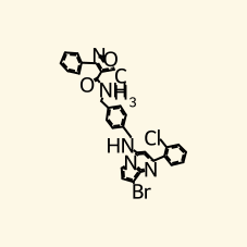 Cc1onc(-c2ccccc2)c1C(=O)NCc1ccc(CNc2cc(-c3ccccc3Cl)nc3c(Br)ccn23)cc1